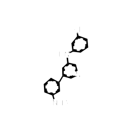 CC(=O)Nc1cccc(-c2cncc(Nc3cccc(Cl)c3)c2)c1